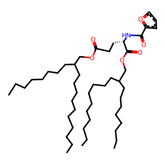 CCCCCCCCCCC(CCCCCCCC)COC(=O)CC[C@H](NC(=O)c1ccco1)C(=O)OCC(CCCCCCCC)CCCCCCCCCC